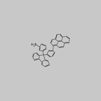 Bc1cccc(C2(c3cccc(-c4ccc5ccc6cccc7ccc4c5c67)c3)c3ccccc3-c3ccccc32)c1